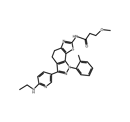 CCNc1ccc(-c2nn(-c3ccccc3C)c3c2CCc2nc(NC(=O)CCOC)sc2-3)cn1